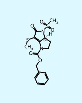 CSC1=C2[C@H](CCN2C(=O)OCc2ccccc2)N(S(C)(=O)=O)C1=O